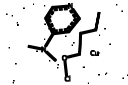 CCCCOCl.CN(C)c1ccncc1.[Cu]